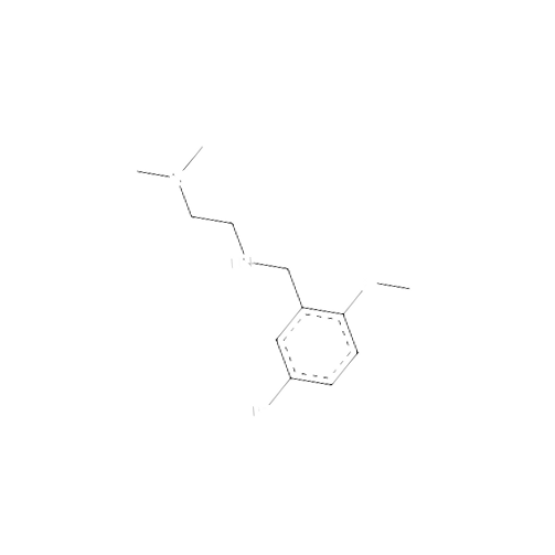 COc1ccc(Br)cc1CNCCN(C)C